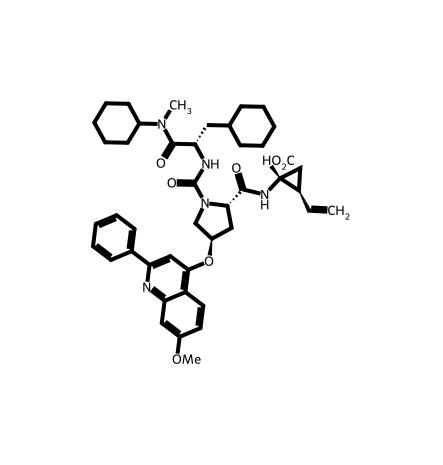 C=C[C@@H]1C[C@]1(NC(=O)[C@@H]1C[C@@H](Oc2cc(-c3ccccc3)nc3cc(OC)ccc23)CN1C(=O)N[C@@H](CC1CCCCC1)C(=O)N(C)C1CCCCC1)C(=O)O